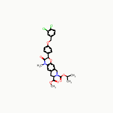 COC(=O)C1Cc2cc3c(cc2CN1C(=O)OC(C)C)OC(c1ccc(OCc2ccc(Cl)c(Cl)c2)cc1)C(=O)N3C